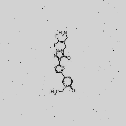 CCn1cc(-c2ccc(-n3nnn(CC(CN)=C(F)F)c3=O)s2)ccc1=O